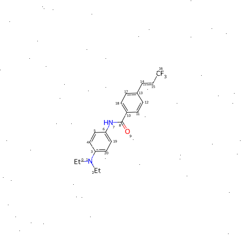 CCN(CC)c1ccc(NC(=O)c2ccc(/C=C/C(F)(F)F)cc2)cc1